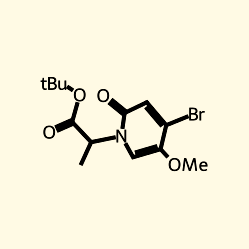 COc1cn(C(C)C(=O)OC(C)(C)C)c(=O)cc1Br